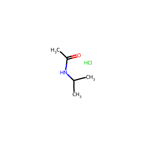 CC(=O)NC(C)C.Cl